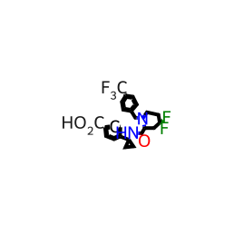 O=C(O)c1ccc(C2(NC(=O)C3CC(F)(F)CCN3Cc3ccc(C(F)(F)F)cc3)CC2)cc1